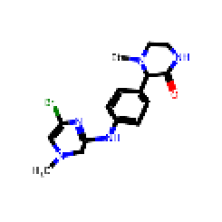 CCN1CCNC(=O)C1c1ccc(NC2=NC(Br)=CN(C)C2)cc1